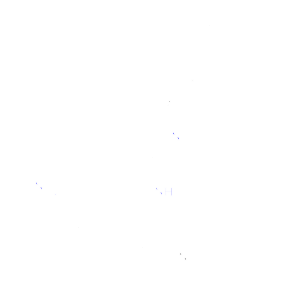 N#Cc1ccc(CN)cc1NC(=O)NC(=O)c1ccccc1